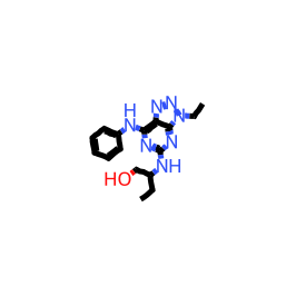 CCC(CO)Nc1nc(Nc2ccccc2)c2nnn(CC)c2n1